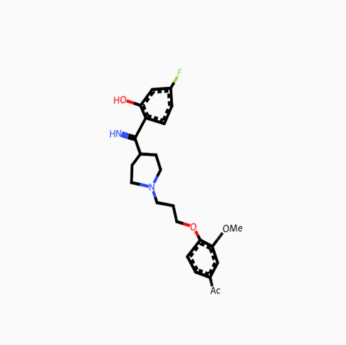 COc1cc(C(C)=O)ccc1OCCCN1CCC(C(=N)c2ccc(F)cc2O)CC1